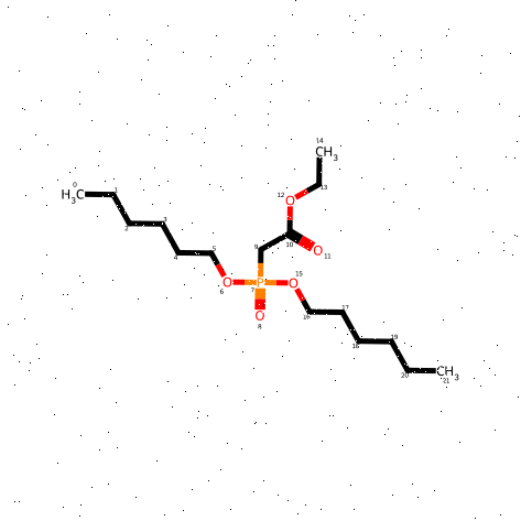 CCCCCCOP(=O)(CC(=O)OCC)OCCCCCC